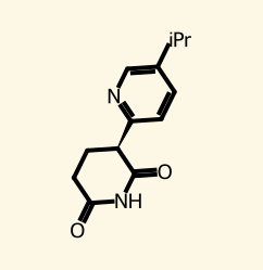 CC(C)c1ccc([C@@H]2CCC(=O)NC2=O)nc1